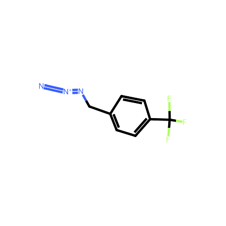 [N-]=[N+]=NCc1ccc(C(F)(F)F)cc1